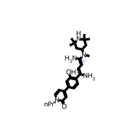 CCCn1ccc(-c2ccc(/C(N)=C/C=C(\N)N(C)C3CC(C)(C)NC(C)(C)C3)c(O)c2)cc1=O